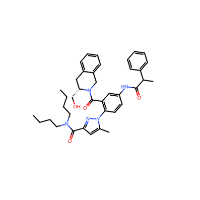 CCCCN(CCCC)C(=O)c1cc(C)n(-c2ccc(NC(=O)C(C)c3ccccc3)cc2C(=O)N2Cc3ccccc3C[C@H]2CO)n1